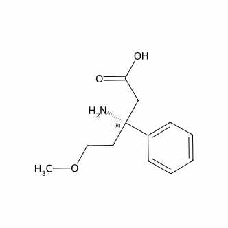 COCC[C@@](N)(CC(=O)O)c1ccccc1